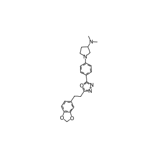 CN(C)C1CCN(c2ccc(-c3nnc(CCc4ccc5c(c4)OCO5)o3)cc2)C1